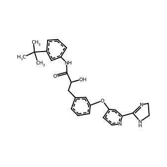 CC(C)(C)c1cccc(NC(=O)C(O)Cc2cccc(Oc3ccnc(C4=NCCN4)c3)c2)c1